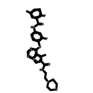 Cc1ccc(F)c(C(=O)Nc2ccc(Oc3ncnn4cc(C(=O)NCCN5CCOCC5)c(C)c34)c(F)c2)c1